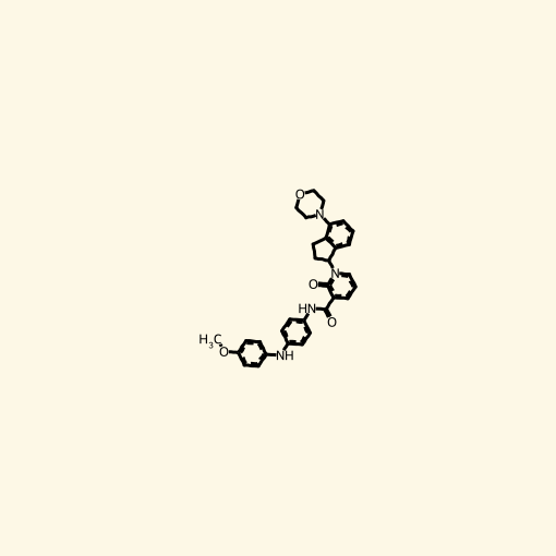 COc1ccc(Nc2ccc(NC(=O)c3cccn(C4CCc5c4cccc5N4CCOCC4)c3=O)cc2)cc1